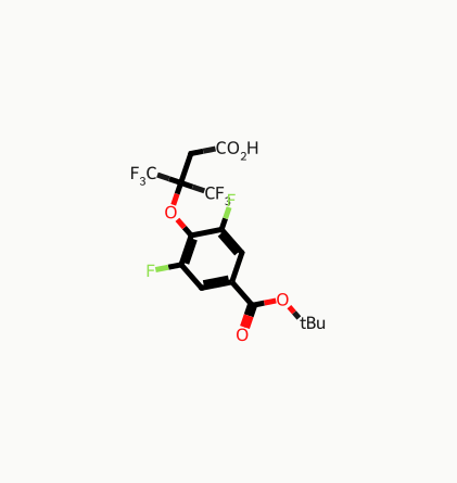 CC(C)(C)OC(=O)c1cc(F)c(OC(CC(=O)O)(C(F)(F)F)C(F)(F)F)c(F)c1